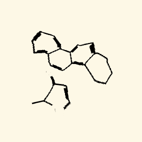 CC1OC=CC1=O.c1ccc2c(c1)ccc1c3c(ccc12)CCCC3